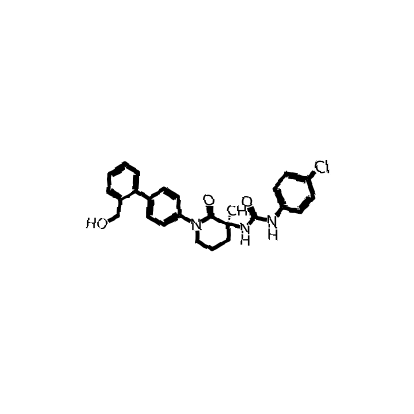 C[C@]1(NC(=O)Nc2ccc(Cl)cc2)CCCN(c2ccc(-c3ccccc3CO)cc2)C1=O